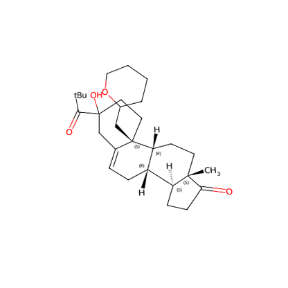 CC(C)(C)C(=O)C1(O)CC[C@@]2(CC3CCCCO3)C(=CC[C@@H]3[C@H]2CC[C@]2(C)C(=O)CC[C@@H]32)C1